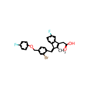 CC1=C(CC(=O)O)c2cc(F)ccc2/C1=C\c1ccc(COc2ccc(F)cc2)cc1Br